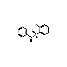 C=[N+](c1ccccc1)S(=O)(=O)c1ccccc1C